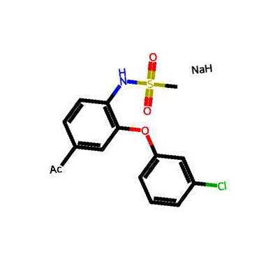 CC(=O)c1ccc(NS(C)(=O)=O)c(Oc2cccc(Cl)c2)c1.[NaH]